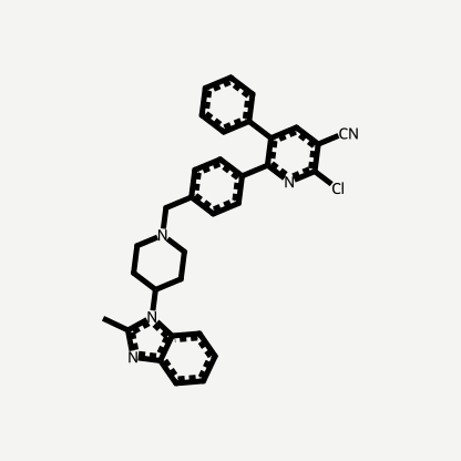 Cc1nc2ccccc2n1C1CCN(Cc2ccc(-c3nc(Cl)c(C#N)cc3-c3ccccc3)cc2)CC1